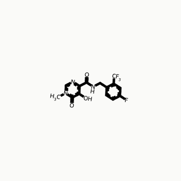 Cn1cnc(C(=O)NCc2ccc(F)cc2C(F)(F)F)c(O)c1=O